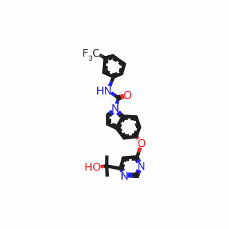 CC(C)(O)c1cc(Oc2ccc3c(ccn3C(=O)Nc3cccc(C(F)(F)F)c3)c2)ncn1